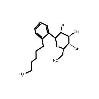 CCCCCCc1ccccc1[C]1O[C@H](CO)[C@@H](O)[C@H](O)[C@@H]1O